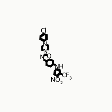 CN(CC1CCC(Nc2ccc([N+](=O)[O-])c(C(F)(F)F)c2)CC1)C(=O)N1CCN(c2ccc(Cl)cc2)CC1